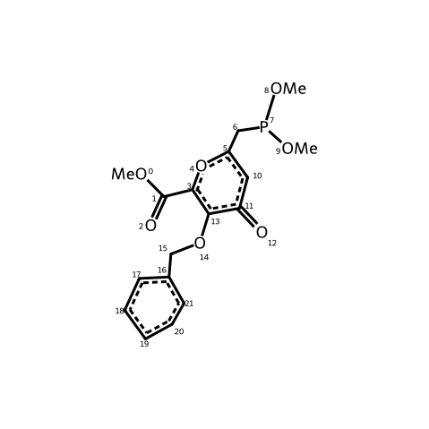 COC(=O)c1oc(CP(OC)OC)cc(=O)c1OCc1ccccc1